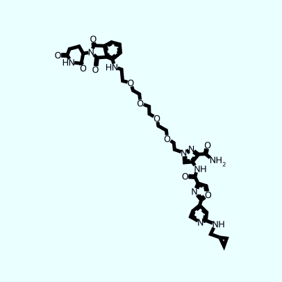 NC(=O)c1nn(CCOCCOCCOCCOCCNc2cccc3c2C(=O)N(C2CCC(=O)NC2=O)C3=O)cc1NC(=O)c1coc(-c2ccnc(NCC3CC3)c2)n1